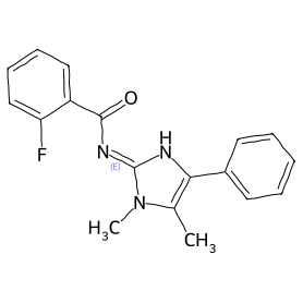 Cc1c(-c2ccccc2)[nH]/c(=N\C(=O)c2ccccc2F)n1C